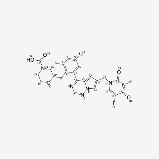 Cc1cc(Cl)cc(-c2ncnn3cc(Cn4cc(F)c(=O)n(C)c4=O)cc23)c1CC1CN(C(=O)O)CCO1